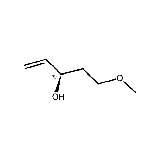 C=C[C@H](O)CCOC